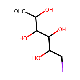 O=CC(O)C(O)C(O)C(O)CI